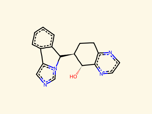 O[C@H]1c2nccnc2CC[C@@H]1C1c2ccccc2-c2cncn21